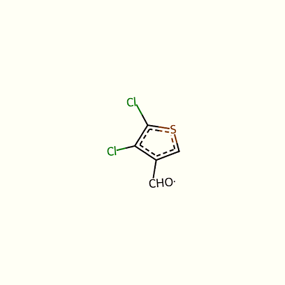 O=[C]c1csc(Cl)c1Cl